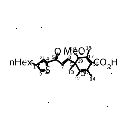 CCCCCCc1csc(C(=O)C=CC2(C)C(C)=C(C)C(C(=O)O)=C(C)C2OC)c1